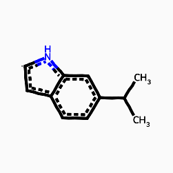 CC(C)c1ccc2c[c][nH]c2c1